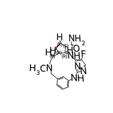 CN1Cc2cccc(c2)Nc2ncc(F)c(n2)N[C@@H]2[C@@H]3C[C@@H](C[C@H]3C1)[C@@H]2C(N)=O